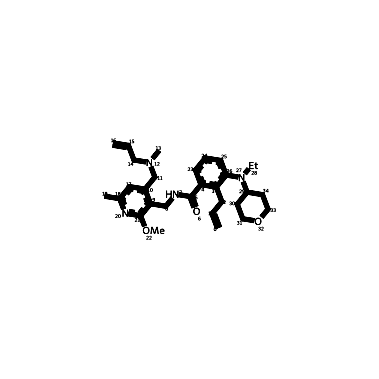 C=CCc1c(C(=O)NCc2c(CN(C)CC=C)cc(C)nc2OC)cccc1N(CC)C1CCOCC1